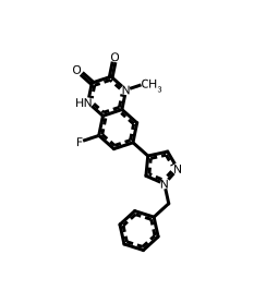 Cn1c(=O)c(=O)[nH]c2c(F)cc(-c3cnn(Cc4ccccc4)c3)cc21